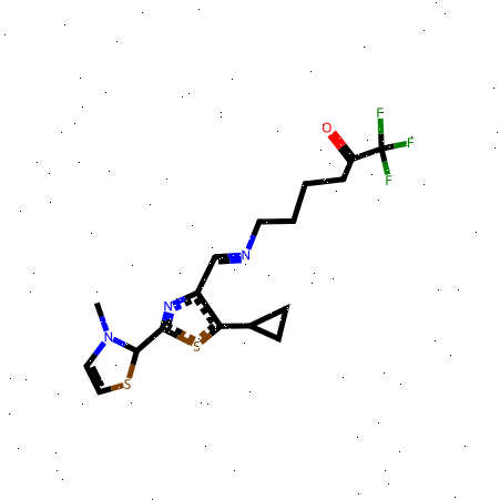 CN1C=CSC1c1nc(/C=N/CCCCC(=O)C(F)(F)F)c(C2CC2)s1